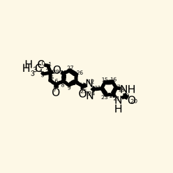 CCC1(CC)CC(=O)c2cc(-c3nc(-c4ccc5[nH]c(=O)[nH]c5c4)no3)ccc2O1